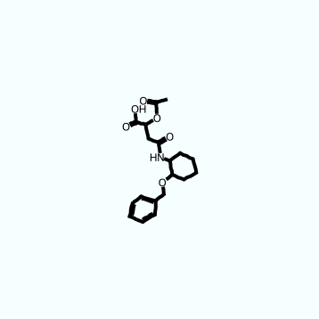 CC(=O)OC(CC(=O)NC1CCCCC1OCc1ccccc1)C(=O)O